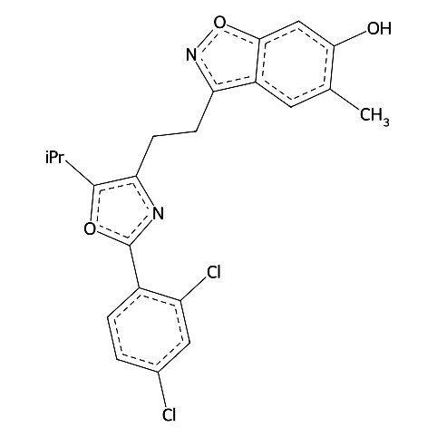 Cc1cc2c(CCc3nc(-c4ccc(Cl)cc4Cl)oc3C(C)C)noc2cc1O